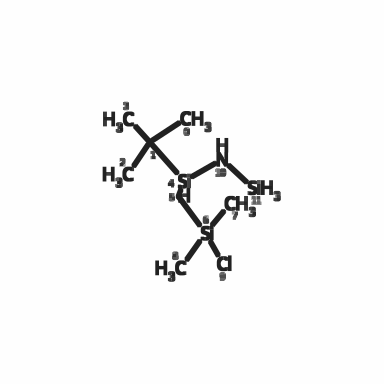 CC(C)(C)[SiH](C[Si](C)(C)Cl)N[SiH3]